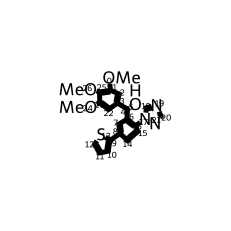 COc1cc(C(O)c2cc(-c3cccs3)ccc2-n2cncn2)cc(OC)c1OC